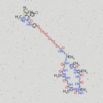 Cc1sc2c(c1C)C(c1ccc(Cl)cc1)=N[C@H](CC(=O)Nc1ccc(OCCOCCOCCOCCOCCOCCC(=O)NCCCN(C)CCCNC(=O)CCNC(=O)c3nc(NC(=O)CCNC(=O)c4cc(NC(=O)C(=N)N(C)/C=C/NC(=O)CCNC(=O)c5cc(NC(=O)c6nccn6C)cn5C)cn4C)cn3C)cc1)c1nnc(C)n1-2